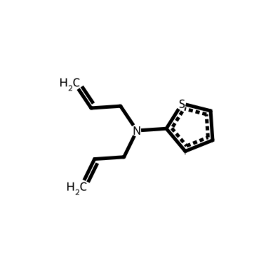 C=CCN(CC=C)c1[c]ccs1